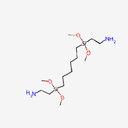 CO[Si](CCN)(CCCCCC[Si](CCN)(OC)OC)OC